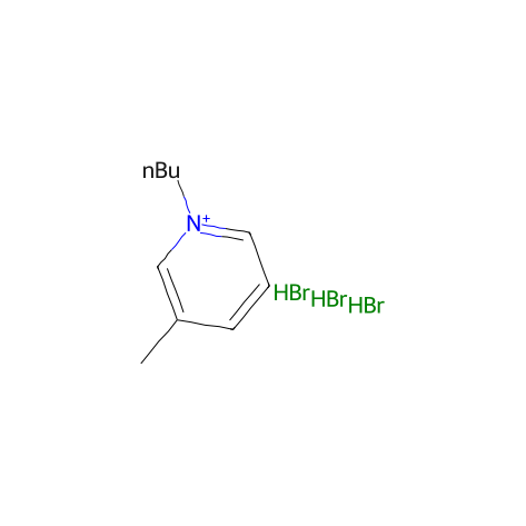 Br.Br.Br.CCCC[n+]1cccc(C)c1